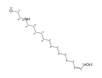 CCCCCCCC/C=C\CCCCCCCCCCCCNCCCl